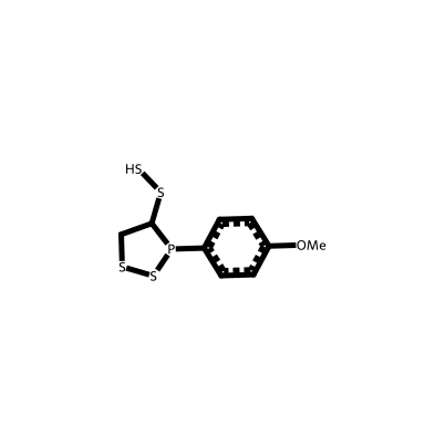 COc1ccc(P2SSCC2SS)cc1